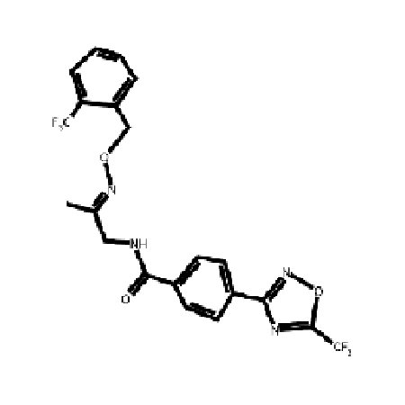 CC(CNC(=O)c1ccc(-c2noc(C(F)(F)F)n2)cc1)=NOCc1ccccc1C(F)(F)F